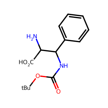 CC(C)(C)OC(=O)NC(c1ccccc1)C(N)C(=O)O